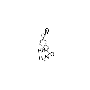 NC(=O)c1cc2cc(OP=O)ccc2[nH]1